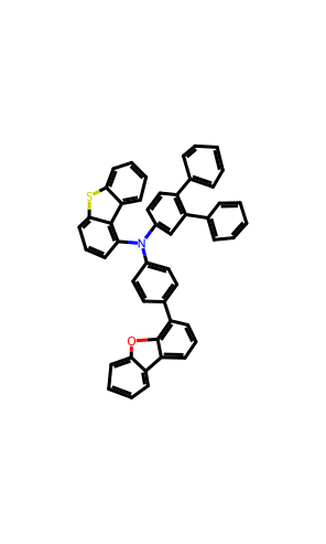 c1ccc(-c2ccc(N(c3ccc(-c4cccc5c4oc4ccccc45)cc3)c3cccc4sc5ccccc5c34)cc2-c2ccccc2)cc1